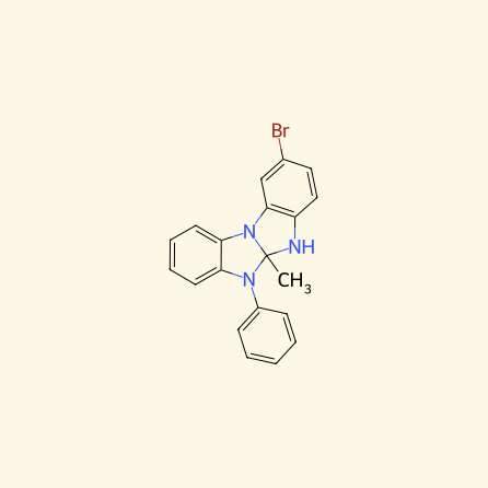 CC12Nc3ccc(Br)cc3N1c1ccccc1N2c1ccccc1